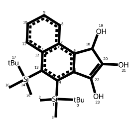 CC(C)(C)[Si](C)(C)c1c2c(c3ccccc3c1[Si](C)(C)C(C)(C)C)C(O)C(O)=C2O